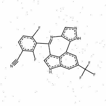 N#Cc1ccc(F)c(C2=Nc3cn[nH]c3-c3cc(C(F)(F)F)cc4[nH]cc2c34)c1F